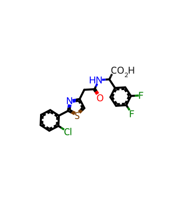 O=C(Cc1csc(-c2ccccc2Cl)n1)NC(C(=O)O)c1ccc(F)c(F)c1